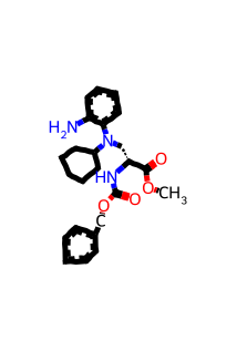 COC(=O)[C@@H](CN(c1ccccc1N)C1CCCCC1)NC(=O)OCc1ccccc1